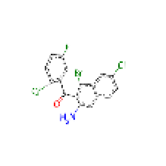 Nc1cc2ccc(Cl)cc2c(Br)c1C(=O)c1cc(F)ccc1Cl